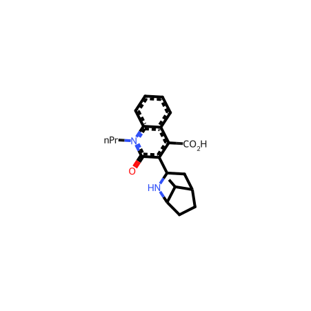 CCCn1c(=O)c(C2CC3CCC(N2)C3C)c(C(=O)O)c2ccccc21